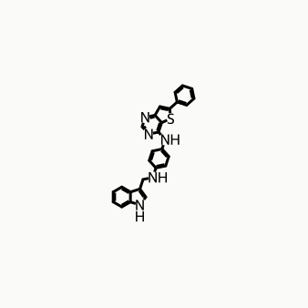 c1ccc(-c2cc3ncnc(Nc4ccc(NCc5c[nH]c6ccccc56)cc4)c3s2)cc1